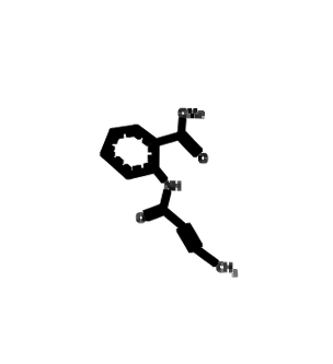 CC#CC(=O)Nc1ccccc1C(=O)OC